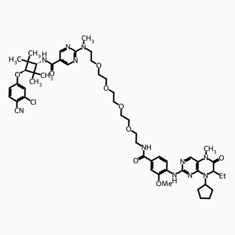 CCC1C(=O)N(C)c2cnc(Nc3ccc(C(=O)NCCOCCOCCOCCOCCN(C)c4ncc(C(=O)N[C@H]5C(C)(C)[C@H](Oc6ccc(C#N)c(Cl)c6)C5(C)C)cn4)cc3OC)nc2N1C1CCCC1